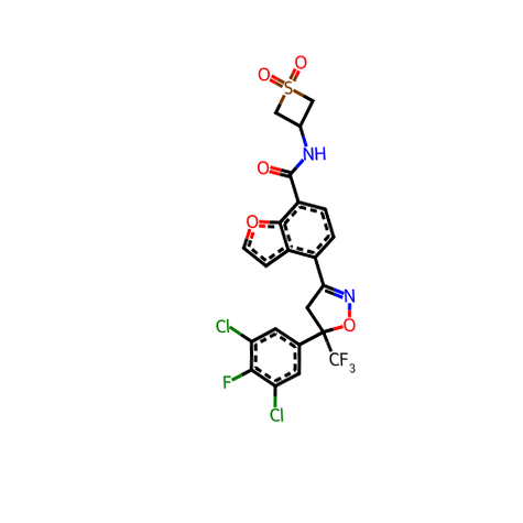 O=C(NC1CS(=O)(=O)C1)c1ccc(C2=NOC(c3cc(Cl)c(F)c(Cl)c3)(C(F)(F)F)C2)c2ccoc12